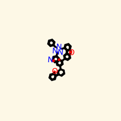 N#Cc1cc(-c2ccc3oc4cccc(-c5nc(-c6ccccc6)nc(-c6ccccc6)n5)c4c3c2)cc(C2CC=Cc3c2oc2ccccc32)c1